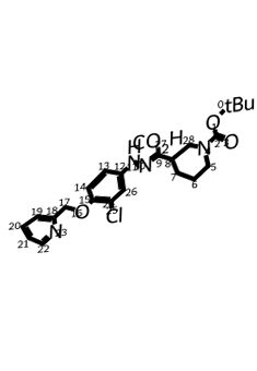 CC(C)(C)OC(=O)N1CCCC(C(=NNc2ccc(OCc3ccccn3)c(Cl)c2)C(=O)O)C1